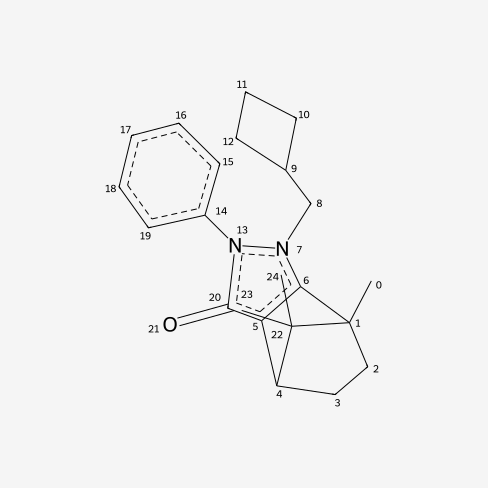 CC12CCC(c3c1n(CC1CCC1)n(-c1ccccc1)c3=O)C2(C)C